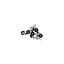 CC[C@@H](NC(=O)c1ccc2c(c1)/C(=C(/Nc1ccc(CN3CCCCC3)cc1)c1ccc3c(ccn3C)c1)C(=O)N2)c1ccccc1